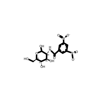 O=C(N[C@H]1C(O)O[C@H](CO)[C@@H](O)[C@@H]1O)c1cc([N+](=O)[O-])cc([N+](=O)[O-])c1